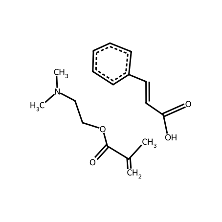 C=C(C)C(=O)OCCN(C)C.O=C(O)C=Cc1ccccc1